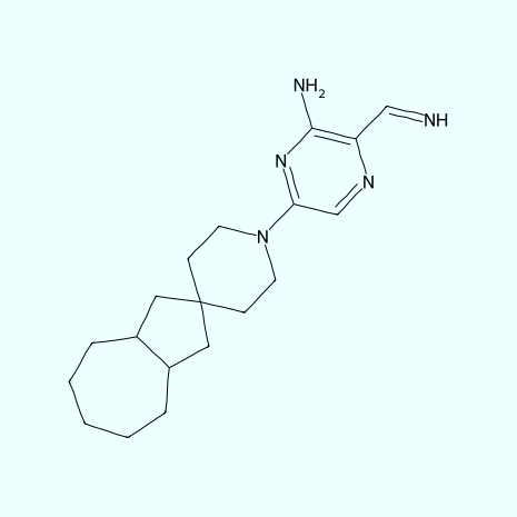 N=Cc1ncc(N2CCC3(CC2)CC2CCCCCC2C3)nc1N